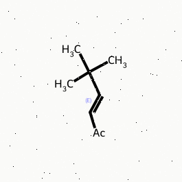 CC(=O)/C=C/C(C)(C)C